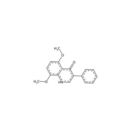 COc1ccc(OC)c2c(=O)c(-c3ccccc3)c[nH]c12